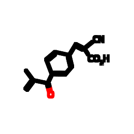 C=C(C)C(=O)c1ccc(C=C(C#N)C(=O)O)cc1